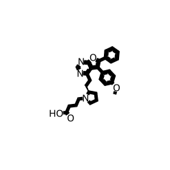 COc1ccc(-c2c(-c3ccccc3)oc3ncnc(CC[C@H]4CCCN4CCCC(=O)O)c23)cc1